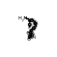 NCCCn1cc(-c2ccc(F)cc2)c2cc(CN3CCN(CC4CCN(c5ccc6c(c5)C(=O)N(C5CCC(=O)NC5=O)C6=O)CC4)CC3)ccc21